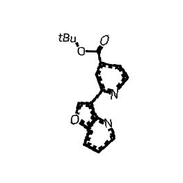 CC(C)(C)OC(=O)c1ccnc(-c2coc3cccnc23)c1